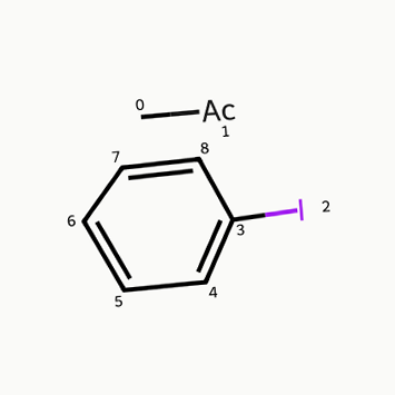 CC(C)=O.Ic1ccccc1